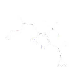 CC(Cc1[nH]nc(C(O)C2CC2)c1C(F)(F)F)OC=O